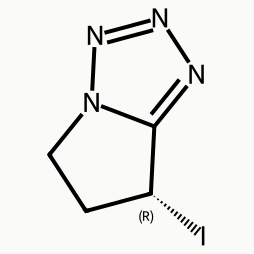 I[C@@H]1CCn2nnnc21